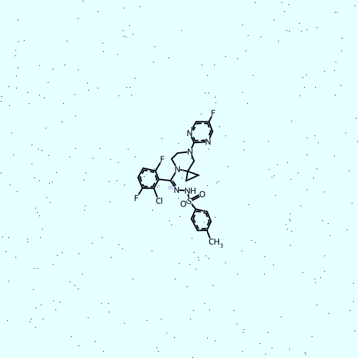 Cc1ccc(S(=O)(=O)N/N=C(/c2c(F)ccc(F)c2Cl)N2CCN(c3ncc(F)cn3)CC23CC3)cc1